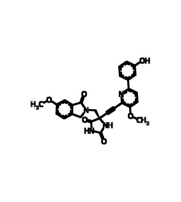 COc1ccc2c(c1)C(=O)N(C[C@@]1(C#Cc3nc(-c4cccc(O)c4)ccc3OC)NC(=O)NC1=O)C2